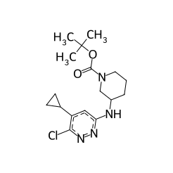 CC(C)(C)OC(=O)N1CCCC(Nc2cc(C3CC3)c(Cl)nn2)C1